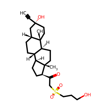 C#C[C@@]1(O)CC[C@@]2(C)[C@H](CC[C@@H]3[C@@H]2CC[C@]2(C)[C@@H](C(=O)CS(=O)(=O)CCCO)CC[C@@H]32)C1